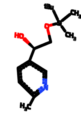 Cc1ccc([C@@H](O)CO[Si](C)(C)C(C)(C)C)cn1